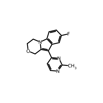 Cc1nccc(-c2c3n(c4ccc(F)cc24)CCOC3)n1